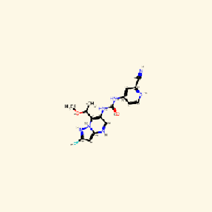 COC(C)c1c(NC(=O)Nc2ccnc(C#N)c2)cnc2cc(F)nn12